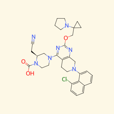 N#CC[C@H]1CN(c2nc(OCC3(N4CCCC4)CC3)nc3c2CCN(c2cccc4cccc(Cl)c24)C3)CCN1C(=O)O